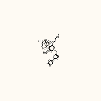 COCCOc1cc(Cc2ncc(-c3ccco3)s2)ccc1[C@@]1(O)[C@H](CO)CO[C@@H](O)[C@]1(O)Cl